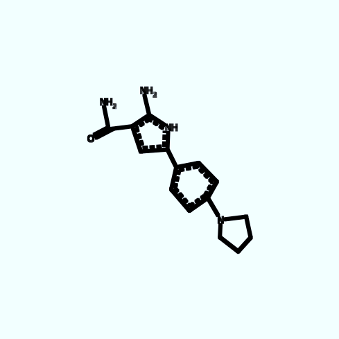 NC(=O)c1cc(-c2ccc(N3CCCC3)cc2)[nH]c1N